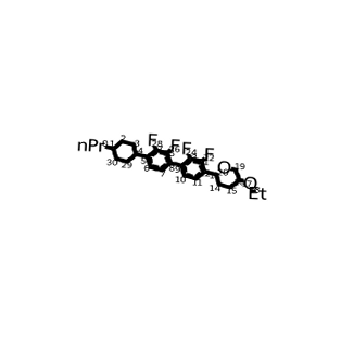 CCCC1CCC(c2ccc(-c3ccc(C4CCC(OCC)CO4)c(F)c3F)c(F)c2F)CC1